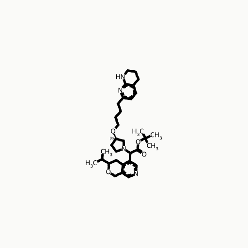 CC(C)C1Cc2c(cncc2C(C(=O)OC(C)(C)C)N2CC[C@@H](OCCCCc3ccc4c(n3)NCCC4)C2)CO1